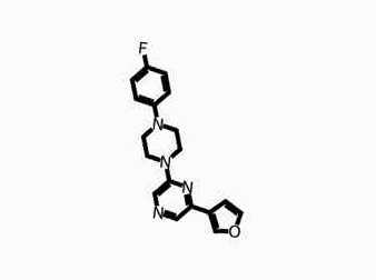 Fc1ccc(N2CCN(c3cncc(-c4ccoc4)n3)CC2)cc1